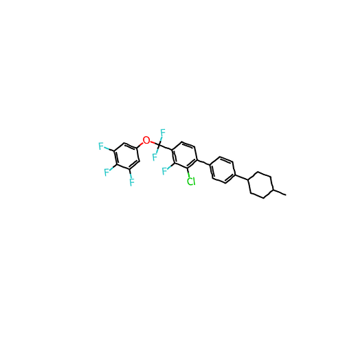 CC1CCC(c2ccc(-c3ccc(C(F)(F)Oc4cc(F)c(F)c(F)c4)c(F)c3Cl)cc2)CC1